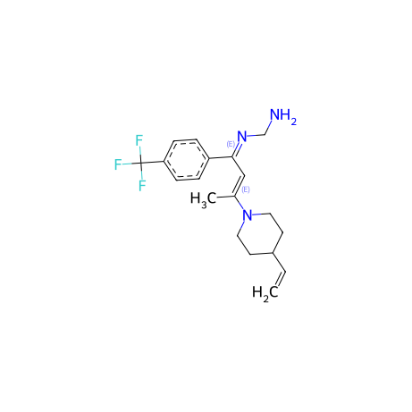 C=CC1CCN(/C(C)=C/C(=N\CN)c2ccc(C(F)(F)F)cc2)CC1